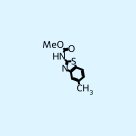 COC(=O)Nc1nc2cc(C)ccc2s1